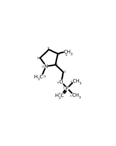 C=P(C)(C)OCC1C(C)CCN1C